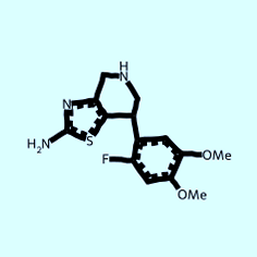 COc1cc(F)c(C2CNCc3nc(N)sc32)cc1OC